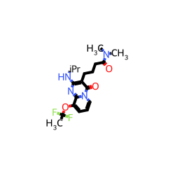 CC(C)Nc1nc2c(OC(C)(F)F)cccn2c(=O)c1CCCC(=O)N(C)C